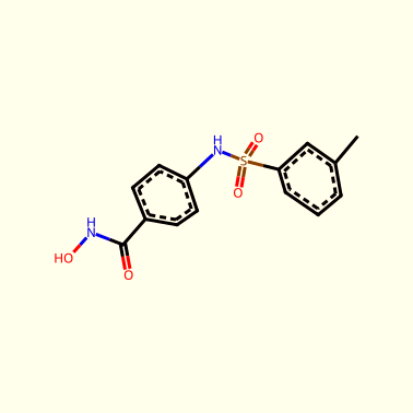 Cc1cccc(S(=O)(=O)Nc2ccc(C(=O)NO)cc2)c1